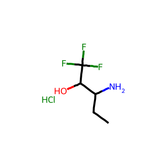 CCC(N)C(O)C(F)(F)F.Cl